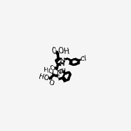 O=C(N[C@H](Cc1ccccc1Cl)[C@@H](O)C(=O)O)c1cc(C(=O)O)n(Cc2cccc(Cl)c2)n1